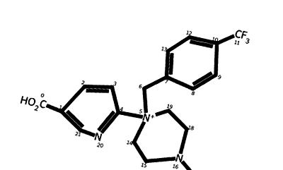 O=C(O)c1ccc([N+]2(Cc3ccc(C(F)(F)F)cc3)CCN(C(=O)O)CC2)nc1